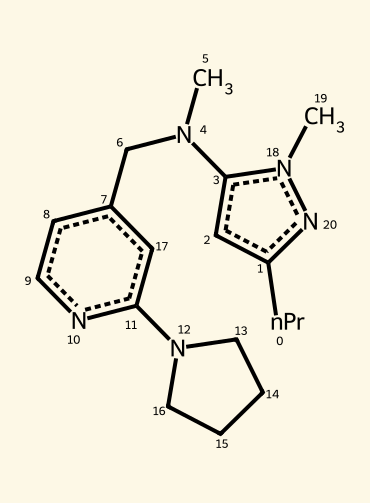 CCCc1cc(N(C)Cc2ccnc(N3CCCC3)c2)n(C)n1